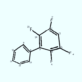 Fc1[c]c(F)c(F)c(-c2ccccc2)c1F